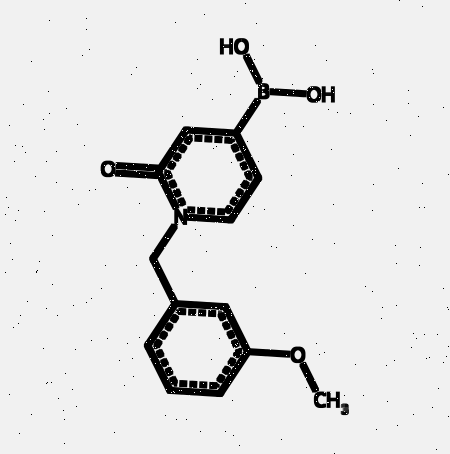 COc1cccc(Cn2ccc(B(O)O)cc2=O)c1